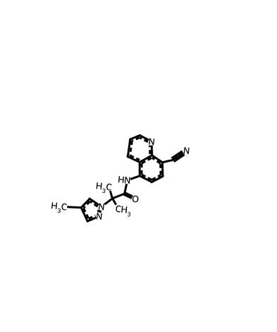 Cc1cnn(C(C)(C)C(=O)Nc2ccc(C#N)c3ncccc23)c1